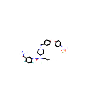 CCCCN(C(=O)Nc1cc(C(=O)NC)c(F)cc1F)C1CCN(Cc2ccc(Oc3ccc(NS(C)(=O)=O)cc3)cc2)CC1.Cl